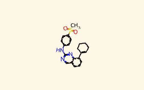 CS(=O)(=O)c1ccc(Nc2ncc3cccc(C4=CCCCC4)c3n2)cc1